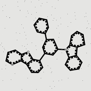 c1ccc(-c2cc(-c3cccc4c3oc3cccnc34)cc(-n3c4ccccc4c4ccccc43)c2)cc1